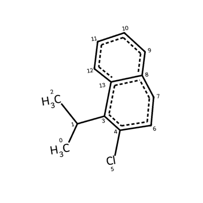 CC(C)c1c(Cl)ccc2ccccc12